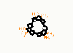 Pc1c(P)c2ccc3cc2c2cc(ccc12)c1ccc2c(P)c(P)c4ccc(cc4c2c1)c1ccc2c(P)c(P)c4ccc3cc4c2c1